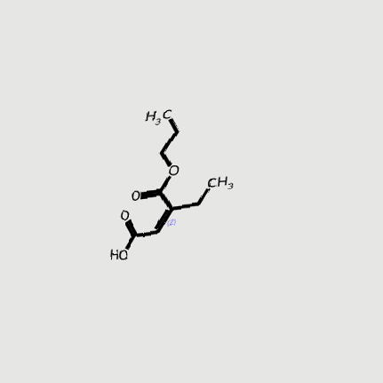 CCCOC(=O)/C(=C\C(=O)O)CC